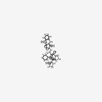 O=C(CC(Cc1ccccc1)NC(=O)C1CCCN1C(=O)C1CCCN1)NC(Cc1ccccc1)C(=O)O